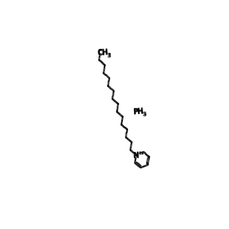 CCCCCCCCCCCCCCCC[n+]1ccccc1.P